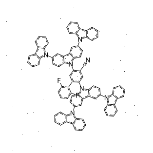 N#Cc1cc(-n2c3ccc(-n4c5ccccc5c5ccccc54)cc3c3cc(-n4c5ccccc5c5ccccc54)ccc32)c(-c2c(F)cccc2F)cc1-n1c2ccc(-n3c4ccccc4c4ccccc43)cc2c2cc(-n3c4ccccc4c4ccccc43)ccc21